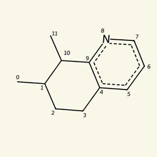 CC1CCc2cccnc2C1C